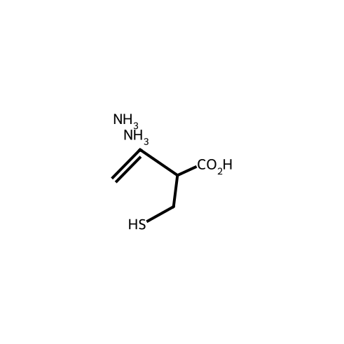 C=CC(CS)C(=O)O.N.N